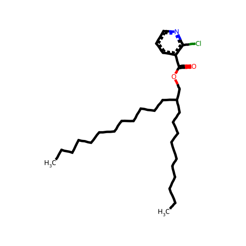 CCCCCCCCCCCCC(CCCCCCCCCC)COC(=O)c1cccnc1Cl